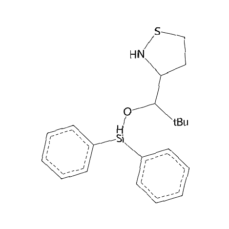 CC(C)(C)C(O[SiH](c1ccccc1)c1ccccc1)C1CCSN1